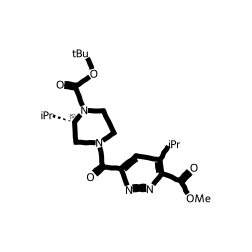 COC(=O)c1nnc(C(=O)N2CCN(C(=O)OC(C)(C)C)[C@@H](C(C)C)C2)cc1C(C)C